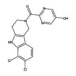 O=C(c1ncc(O)cn1)N1CCc2[nH]c3c(Cl)c(Cl)ccc3c2C1